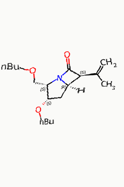 C=C(C)[C@@H]1C(=O)N2[C@@H]1C[C@H](OCCCC)[C@@H]2COCCCC